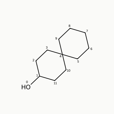 OC1CCC2(CCCCC2)CC1